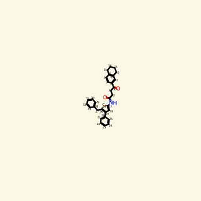 O=C(CCC(=O)c1ccc2c(c1)CCCC2)Nc1cc(-c2ccccc2)c(Cc2ccccc2)s1